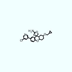 NC1=NC2(CO1)c1cc(-c3cncc(Cl)c3)ccc1OC1CCC(OCC3CC3)CC12